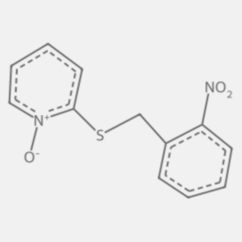 O=[N+]([O-])c1ccccc1CSc1cccc[n+]1[O-]